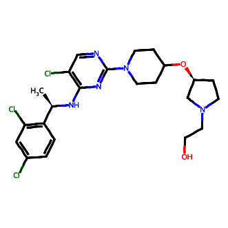 C[C@@H](Nc1nc(N2CCC(O[C@H]3CCN(CCO)C3)CC2)ncc1Cl)c1ccc(Cl)cc1Cl